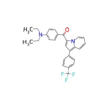 CCN(CC)c1ccc(C(=O)c2cc(-c3ccc(C(F)(F)F)cc3)c3ccccn23)cc1